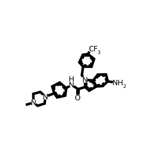 CN1CCN(c2ccc(NC(=O)c3cc4cc(N)ccc4n3Cc3ccc(C(F)(F)F)cc3)cc2)CC1